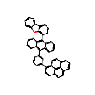 c1cc(-c2c3ccccc3c(-c3cccc4c3oc3ccccc34)c3ccccc23)cc(-c2ccc3ccc4cccc5ccc2c3c45)c1